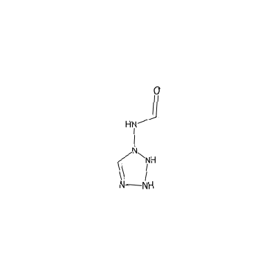 O=[C]NN1C=NNN1